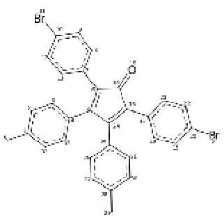 Cc1ccc(C2=C(c3ccc(Br)cc3)C(=O)C(c3ccc(Br)cc3)=C2c2ccc(C)cc2)cc1